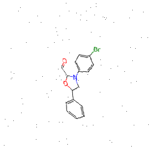 O=CC1OC(c2ccccc2)CN1c1ccc(Br)cc1